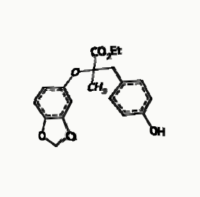 CCOC(=O)C(C)(Cc1ccc(O)cc1)Oc1ccc2c(c1)OCO2